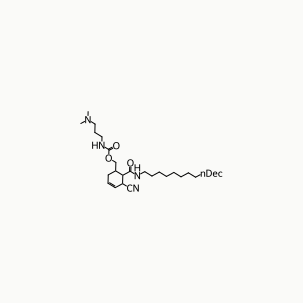 CCCCCCCCCCCCCCCCCCNC(=O)C1C(C#N)C=CCC1COC(=O)NCCCN(C)C